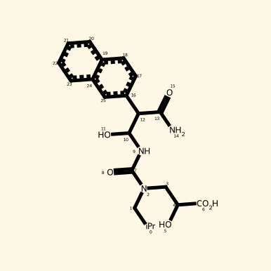 CC(C)CN(CC(O)C(=O)O)C(=O)NC(O)C(C(N)=O)c1ccc2ccccc2c1